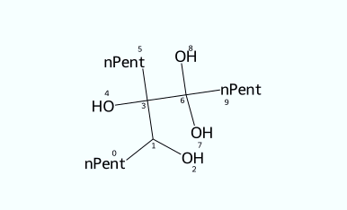 CCCCCC(O)C(O)(CCCCC)C(O)(O)CCCCC